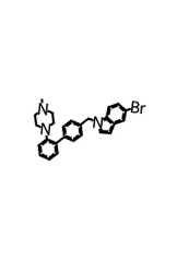 CN1CCN(c2ccccc2-c2ccc(Cn3ccc4cc(Br)ccc43)cc2)CC1